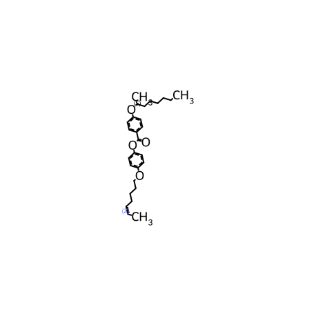 C/C=C\CCCCOc1ccc(OC(=O)c2ccc(O[C@@H](C)CCCCCC)cc2)cc1